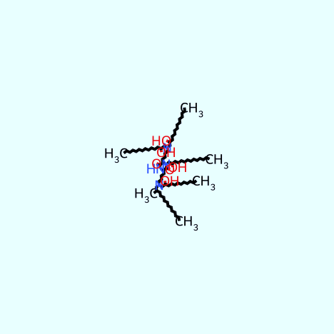 CCCCCCCCCCCCC(C)CN(CCCCC1NC(=O)C(CCCCN(CC(O)CCCCCCCCCCCC)CC(O)CCCCCCCCCCCC)N(CC(O)CCCCCCCCCCCC)C1=O)CC(O)CCCCCCCCCC